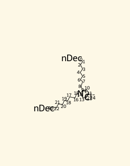 CCCCCCCCCCCCCCCCCCc1cccc[n+]1CCCCCCCCCCCCCCCCCC.[Cl-]